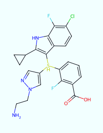 NCCn1cc([SH](c2cccc(C(=O)O)c2F)c2c(C3CC3)[nH]c3c(F)c(Cl)ccc23)cn1